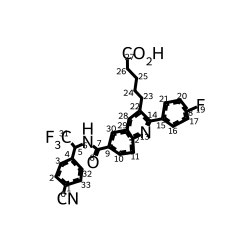 N#Cc1ccc(C(NC(=O)c2ccc3nc(-c4ccc(F)cc4)c(CCCCC(=O)O)cc3c2)C(F)(F)F)cc1